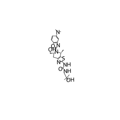 C[C@H]1c2sc(NC(=O)NCC(C)(C)O)nc2C[C@@H](CO)N1c1nc2cc(N(C)C)ccc2o1